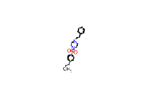 CCCc1ccc(S(=O)(=O)N2CCN(CCc3ccccc3)CC2)cc1